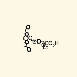 CCOC(Cc1ccc(OCCOC2c3ccc(Cc4ccccc4)cc3C=Cc3cc(C(C)c4ccccc4)ccc32)cc1)C(=O)O